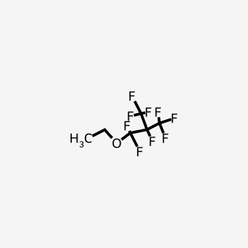 CCOC(F)(F)C(F)(C(F)(F)F)C(F)(F)F